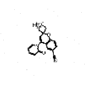 CCC1(CC)C=C(n2ccccc2=O)c2cc(C#N)ccc2O1